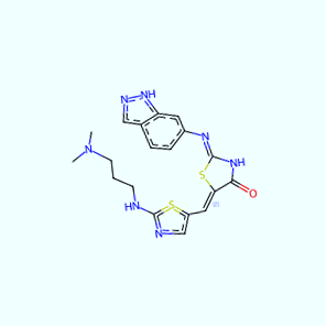 CN(C)CCCNc1ncc(/C=C2\SC(=Nc3ccc4cn[nH]c4c3)NC2=O)s1